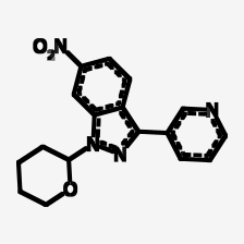 O=[N+]([O-])c1ccc2c(-c3cccnc3)nn(C3CCCCO3)c2c1